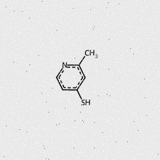 Cc1cc(S)ccn1